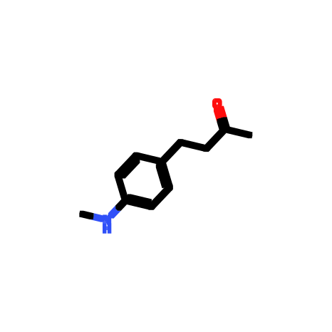 CNc1ccc(CCC(C)=O)cc1